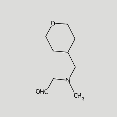 CN(CC=O)CC1CCOCC1